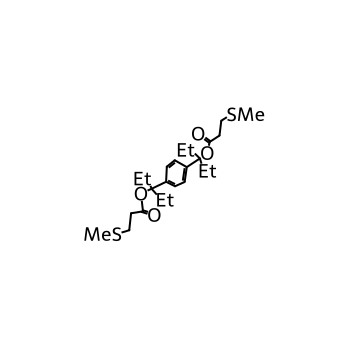 CCC(CC)(OC(=O)CCSC)c1ccc(C(CC)(CC)OC(=O)CCSC)cc1